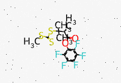 CSC(=S)SC(C)(C)C(C)C(=O)Oc1c(F)c(F)c(F)c(F)c1F